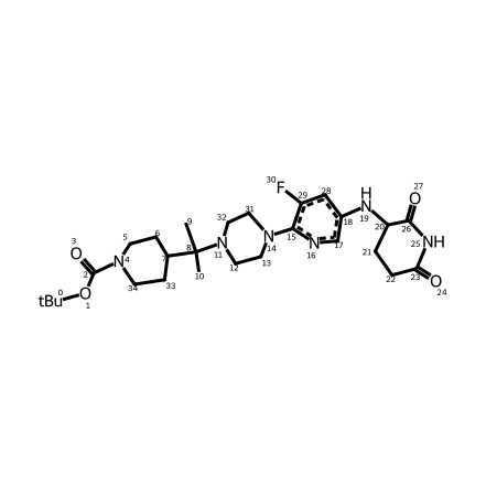 CC(C)(C)OC(=O)N1CCC(C(C)(C)N2CCN(c3ncc(NC4CCC(=O)NC4=O)cc3F)CC2)CC1